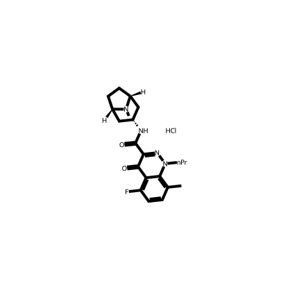 CCCn1nc(C(=O)N[C@H]2C[C@H]3CC[C@@H](C2)N3C)c(=O)c2c(F)ccc(C)c21.Cl